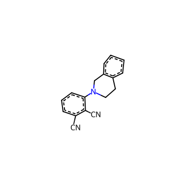 N#Cc1cccc(N2CCc3ccccc3C2)c1C#N